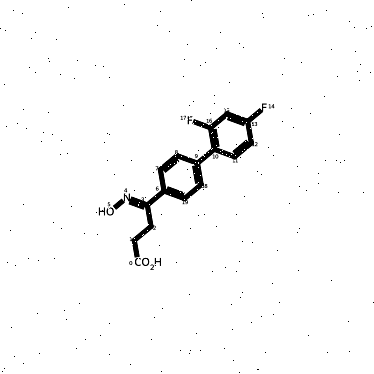 O=C(O)CC/C(=N\O)c1ccc(-c2ccc(F)cc2F)cc1